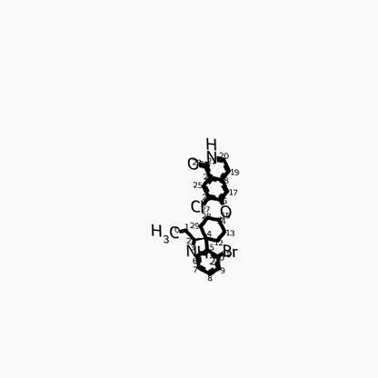 CCC(N)[C@]1(c2ccccc2Br)CC[C@H](Oc2cc3cc[nH]c(=O)c3cc2Cl)CC1